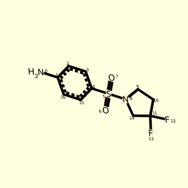 Nc1ccc(S(=O)(=O)N2CCC(F)(F)C2)cc1